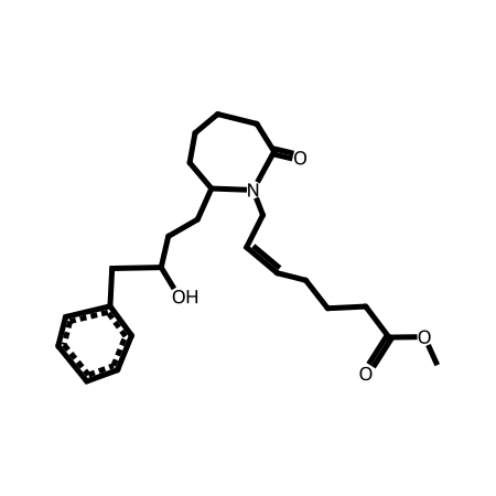 COC(=O)CCC/C=C\CN1C(=O)CCCCC1CCC(O)Cc1ccccc1